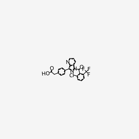 O=C(O)Cc1ccc(-c2nn(C(=O)c3c(Cl)cccc3C(F)(F)F)c3cccnc23)cc1